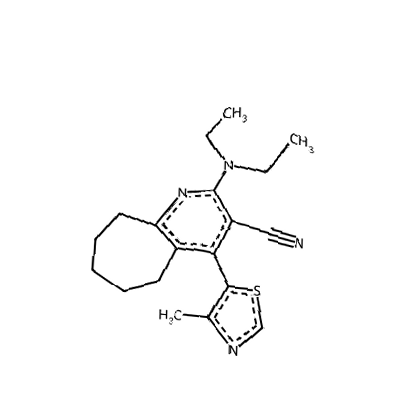 CCN(CC)c1nc2c(c(-c3scnc3C)c1C#N)CCCCC2